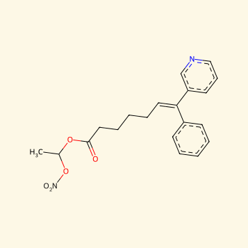 CC(OC(=O)CCCC/C=C(\c1ccccc1)c1cccnc1)O[N+](=O)[O-]